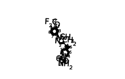 C=C(/C=N\N(C)c1cccc(OC(F)(F)F)c1)[C@@H]1CC12CCN(S(N)(=O)=O)CC2